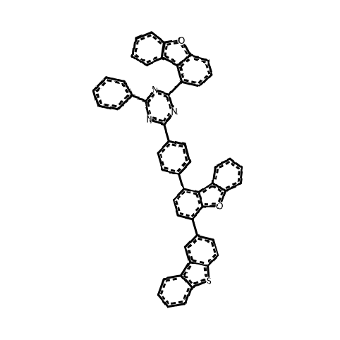 c1ccc(-c2nc(-c3ccc(-c4ccc(-c5ccc6sc7ccccc7c6c5)c5oc6ccccc6c45)cc3)nc(-c3cccc4oc5ccccc5c34)n2)cc1